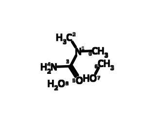 CN(C)C(N)=O.CO.O